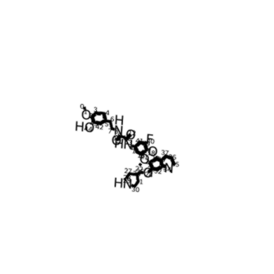 COc1ccc(CCNC(=O)C(=O)Nc2ccc(Oc3c(OC)c(OCC4CCNCC4)cc4ncccc34)c(F)c2)cc1O